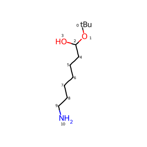 CC(C)(C)OC(O)CCCCCCN